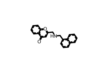 O=c1cc(CNCc2cccc3ccccc23)oc2ccccc12